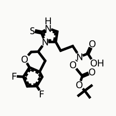 CC(C)(C)OC(=O)ON(CCc1c[nH]c(=S)n1C1COc2c(F)cc(F)cc2C1)C(=O)O